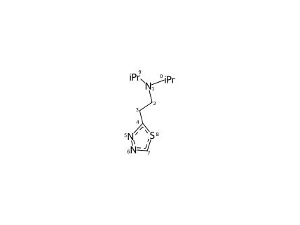 CC(C)N(CCc1nncs1)C(C)C